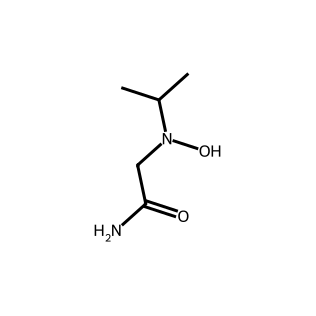 CC(C)N(O)CC(N)=O